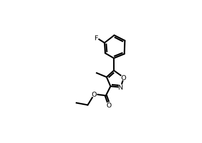 CCOC(=O)c1noc(-c2cccc(F)c2)c1C